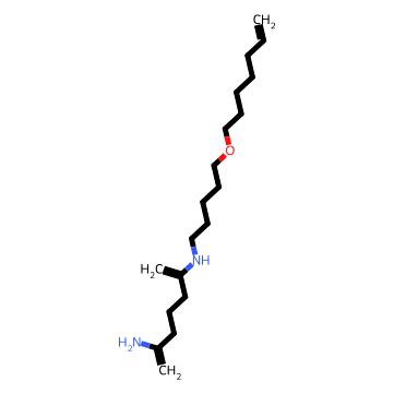 C=CCCCCCOCCCCCNC(=C)CCCC(=C)N